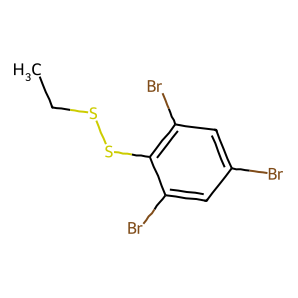 CCSSc1c(Br)cc(Br)cc1Br